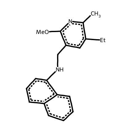 CCc1cc(CNc2cccc3ccccc23)c(OC)nc1C